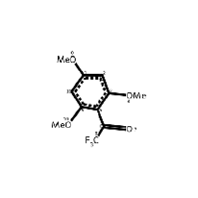 COc1cc(OC)c(C(=O)C(F)(F)F)c(OC)c1